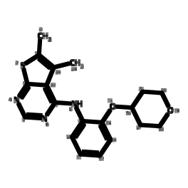 Cc1sc2ncnc(Nc3ccccc3OC3CCOCC3)c2c1C